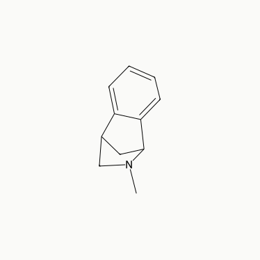 CN1CC2CC1c1ccccc12